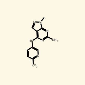 Cn1ncc2c(Nc3ccc(C(F)(F)F)nc3)nc(N)nc21